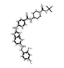 CC(C)(C)OC(=O)N1CCC(NC(=O)c2ccc(Nc3nc4ccc(NCc5ccc(F)cc5F)nc4s3)nc2)CC1